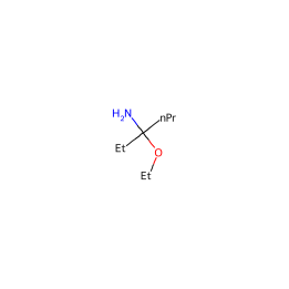 CCCC(N)(CC)OCC